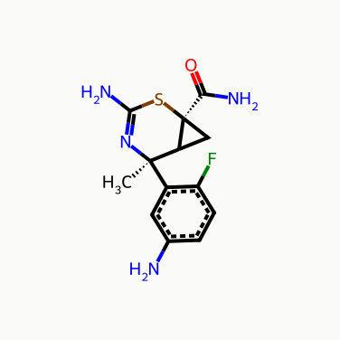 C[C@]1(c2cc(N)ccc2F)N=C(N)S[C@@]2(C(N)=O)CC21